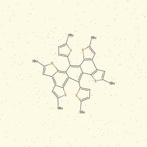 CC(C)(C)c1ccc(-c2c3c4sc(C(C)(C)C)cc4c4cc(C(C)(C)C)sc4c3c(-c3ccc(C(C)(C)C)s3)c3c4sc(C(C)(C)C)cc4c4cc(C(C)(C)C)sc4c23)s1